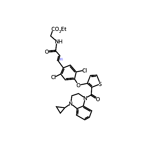 CCOC(=O)CNC(=O)/C=C/c1cc(Cl)c(Oc2ccsc2C(=O)N2CCN(C3CC3)c3ccccc32)cc1Cl